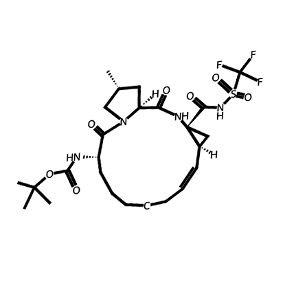 C[C@@H]1C[C@H]2C(=O)N[C@]3(C(=O)NS(=O)(=O)C(F)(F)F)C[C@H]3/C=C\CCCCC[C@H](NC(=O)OC(C)(C)C)C(=O)N2C1